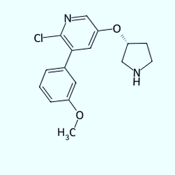 COc1cccc(-c2cc(O[C@@H]3CCNC3)cnc2Cl)c1